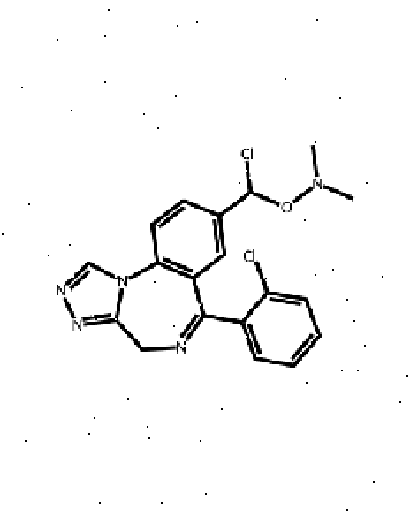 CN(C)OC(Cl)c1ccc2c(c1)C(c1ccccc1Cl)=NCc1nncn1-2